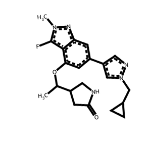 CC(Oc1cc(-c2cnn(CC3CC3)c2)cc2nn(C)c(F)c12)C1CNC(=O)C1